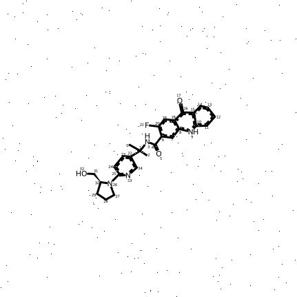 CC(C)(NC(=O)c1cc2[nH]c3ccccc3c(=O)c2cc1F)c1ccc(N2CCC[C@H]2CO)nc1